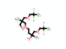 CC(O)(CCOCC(C)(CO)COCC(F)(F)C(F)(F)F)COCC(F)(F)C(F)(F)F